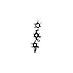 C[C@H]1CC[C@H](CCc2ccc(C(=O)Oc3ccc(C#N)c(F)c3)c(F)c2)CC1